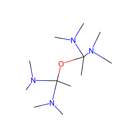 CN(C)C(C)(OC(C)(N(C)C)N(C)C)N(C)C